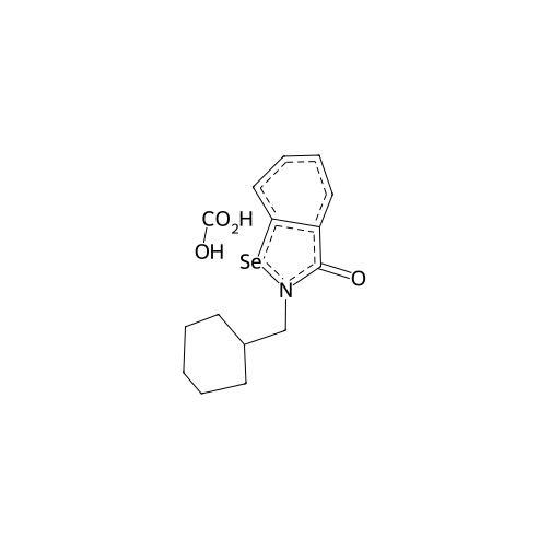 O=C(O)O.O=c1c2ccccc2[se]n1CC1CCCCC1